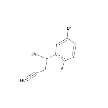 C#CCC(c1cc(Br)ccc1F)C(C)C